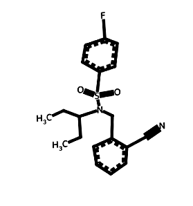 CCC(CC)N(Cc1ccccc1C#N)S(=O)(=O)c1ccc(F)cc1